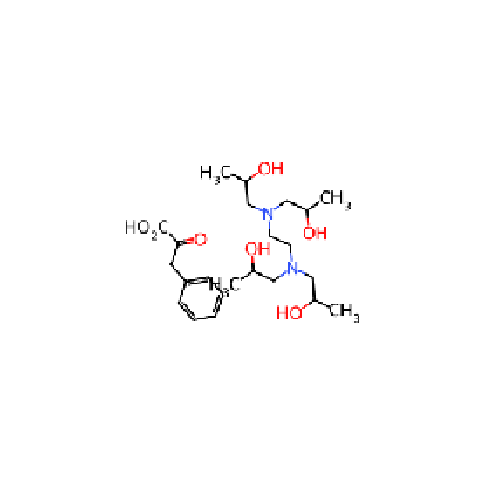 CC(O)CN(CCN(CC(C)O)CC(C)O)CC(C)O.O=C(O)C(=O)Cc1ccccc1